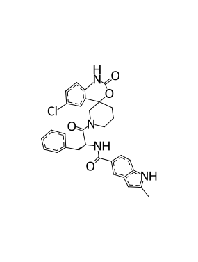 Cc1cc2cc(C(=O)N[C@@H](Cc3ccccc3)C(=O)N3CCCC4(C3)OC(=O)Nc3ccc(Cl)cc34)ccc2[nH]1